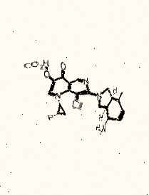 C[C@H]1C=C[C@@H](N)[C@H]2CN(c3ncc4c(=O)c(OC(=O)O)cn([C@@H]5C[C@@H]5F)c4c3Cl)C[C@H]21